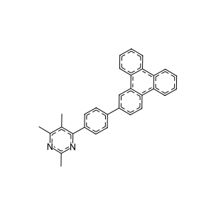 Cc1nc(C)c(C)c(-c2ccc(-c3ccc4c5ccccc5c5ccccc5c4c3)cc2)n1